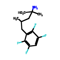 CC(Cc1c(F)c(F)cc(F)c1F)CC(C)(N)C(=O)O